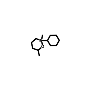 CC1CCC[Si](C)(C2CCCCC2)O1